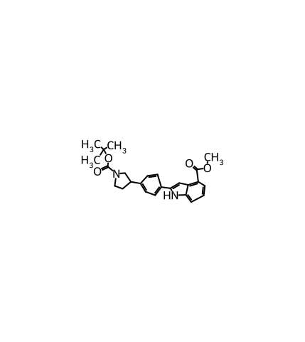 COC(=O)c1cccc2[nH]c(-c3ccc(C4CCN(C(=O)OC(C)(C)C)C4)cc3)cc12